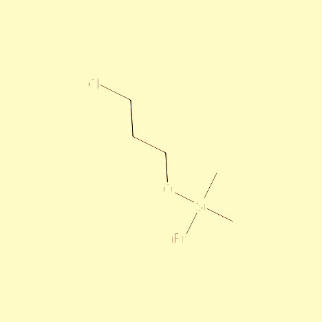 CC(C)[Si](C)(C)OCCCCl